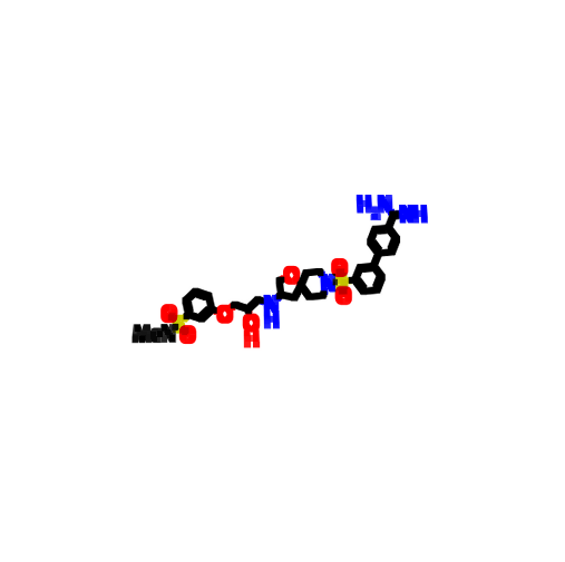 CNS(=O)(=O)c1cccc(OCC(O)CNC2COC3(CCN(S(=O)(=O)c4cccc(-c5ccc(C(=N)N)cc5)c4)CC3)C2)c1